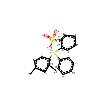 Cc1ccc(S(OS(=O)(=O)C(F)(F)F)(c2ccccc2)c2ccccc2)c(C)c1